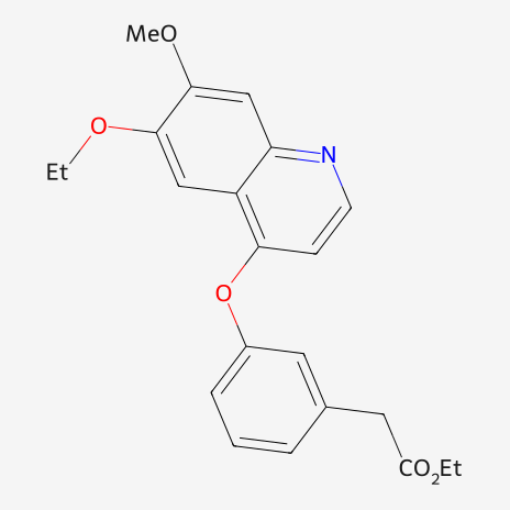 CCOC(=O)Cc1cccc(Oc2ccnc3cc(OC)c(OCC)cc23)c1